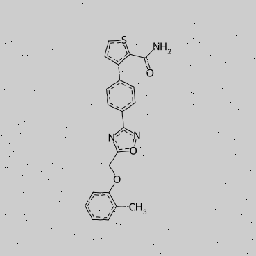 Cc1ccccc1OCc1nc(-c2ccc(-c3ccsc3C(N)=O)cc2)no1